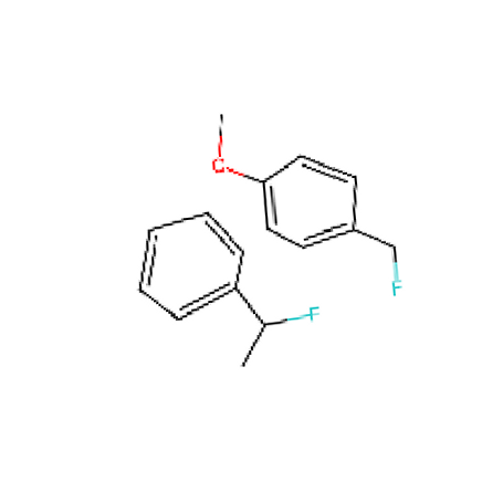 CC(F)c1ccccc1.COc1ccc(CF)cc1